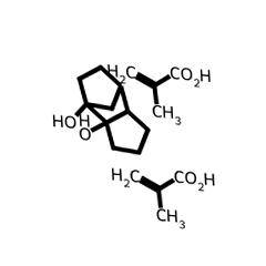 C=C(C)C(=O)O.C=C(C)C(=O)O.OC12CCC(C1)C1CCCC12O